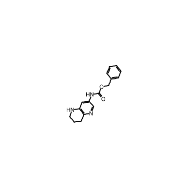 O=C(Nc1cnc2c(c1)NCCC2)OCc1ccccc1